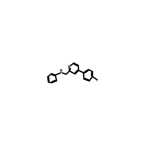 Fc1ccc(-c2ccnc(CPc3ccccc3)c2)cc1